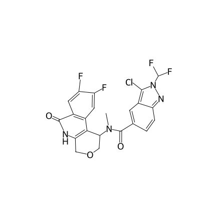 CN(C(=O)c1ccc2nn(C(F)F)c(Cl)c2c1)C1COCc2[nH]c(=O)c3cc(F)c(F)cc3c21